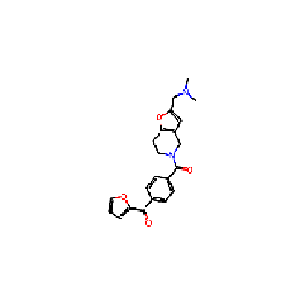 CN(C)Cc1cc2c(o1)CCN(C(=O)c1ccc(C(=O)c3ccco3)cc1)C2